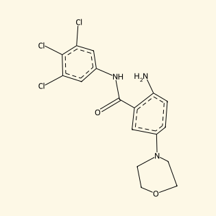 Nc1ccc(N2CCOCC2)cc1C(=O)Nc1cc(Cl)c(Cl)c(Cl)c1